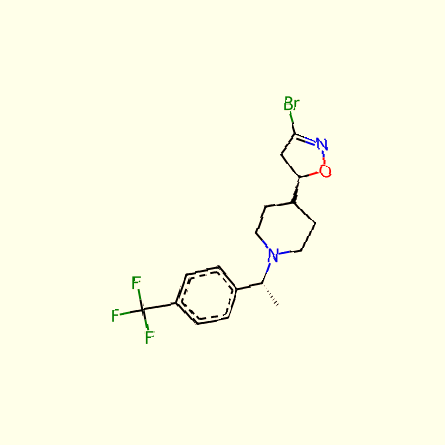 C[C@H](c1ccc(C(F)(F)F)cc1)N1CCC([C@H]2CC(Br)=NO2)CC1